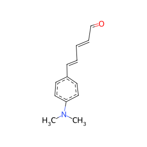 CN(C)c1ccc(C=CC=CC=O)cc1